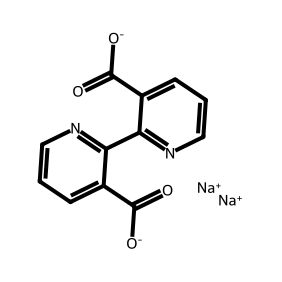 O=C([O-])c1cccnc1-c1ncccc1C(=O)[O-].[Na+].[Na+]